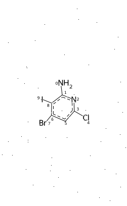 Nc1nc(Cl)cc(Br)c1I